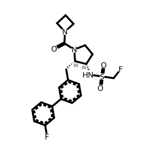 O=C(N1CCC1)N1CC[C@H](NS(=O)(=O)CF)[C@@H]1Cc1cccc(-c2cccc(F)c2)c1